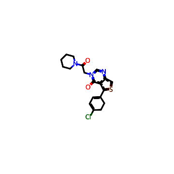 O=C(Cn1cnc2csc(C3=CC=C(Cl)CC3)c2c1=O)N1CCCCC1